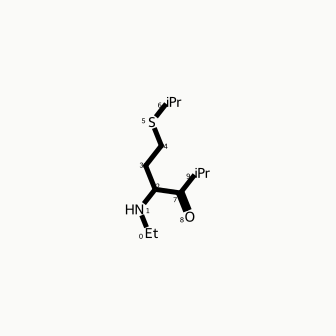 CCNC(CCSC(C)C)C(=O)C(C)C